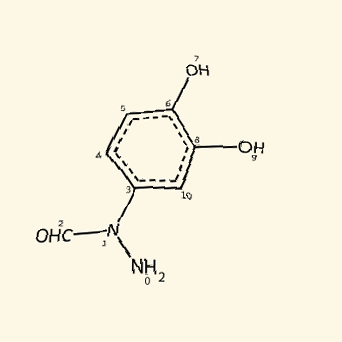 NN(C=O)c1ccc(O)c(O)c1